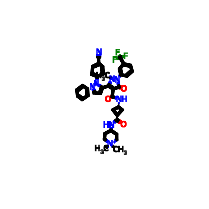 Cn1c(-c2ccnn2-c2ccc(C#N)cc2)c(C(=O)N[C@H]2C[C@H](C(=O)NC3CC[N+](C)(C)CC3)C2)c(=O)n1-c1cccc(C(F)(F)F)c1.c1ccccc1